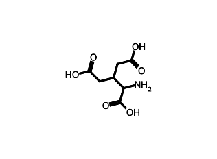 NC(C(=O)O)C(CC(=O)O)CC(=O)O